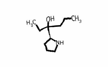 CCCC(O)(CC)[C@@H]1CCCN1